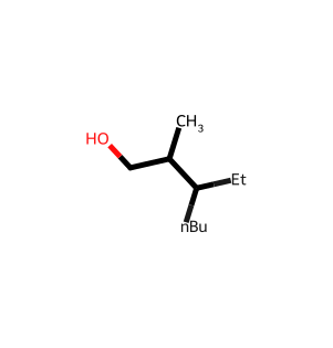 CCCCC(CC)C(C)CO